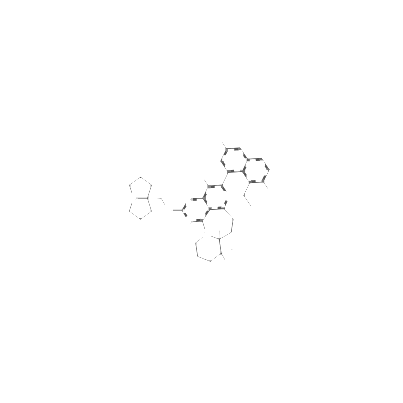 CCc1c(F)ccc2cc(O)cc(-c3nc4c5c(nc(OC[C@@]67CCCN6C[C@H](F)C7)nc5c3F)N3CCC[C@@](C)(O)[C@H]3CC4)c12